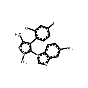 Cc1nn(C)c(-n2cnc3cc(N)ccc32)c1-c1ccc(F)cc1Cl